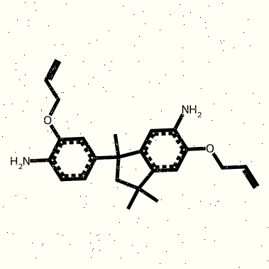 C=CCOc1cc(C2(C)CC(C)(C)c3cc(OCC=C)c(N)cc32)ccc1N